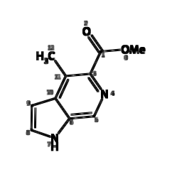 COC(=O)c1ncc2[nH]ccc2c1C